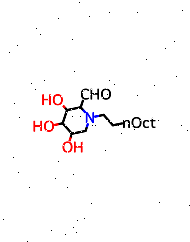 CCCCCCCCCCN1CC(O)C(O)C(O)C1C=O